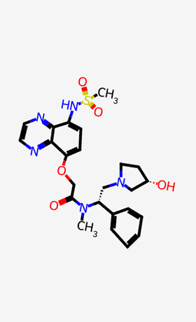 CN(C(=O)COc1ccc(NS(C)(=O)=O)c2nccnc12)[C@H](CN1CC[C@H](O)C1)c1ccccc1